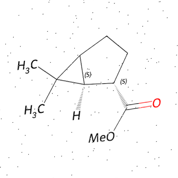 COC(=O)[C@H]1CCC2[C@@H]1C2(C)C